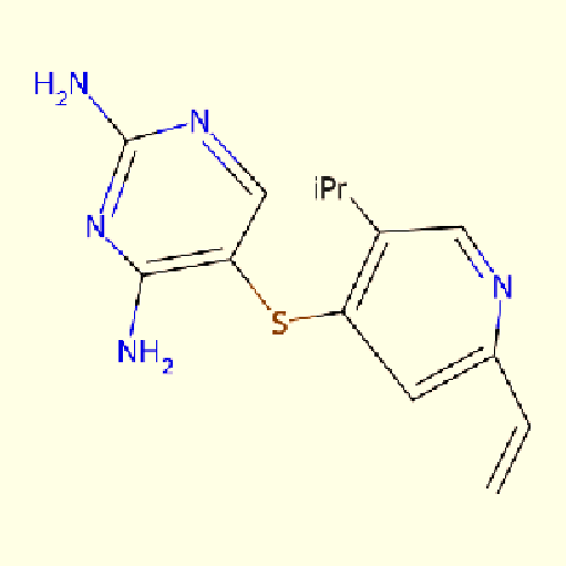 C=Cc1cc(Sc2cnc(N)nc2N)c(C(C)C)cn1